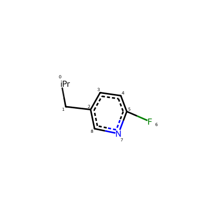 CC(C)Cc1ccc(F)nc1